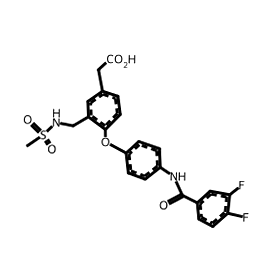 CS(=O)(=O)NCc1cc(CC(=O)O)ccc1Oc1ccc(NC(=O)c2ccc(F)c(F)c2)cc1